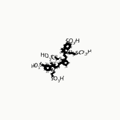 CC1(C)C(/C=C/C2=C(SCCC(=O)O)C(=C/C=C3/N(CCCS(=O)(=O)O)c4ccc(S(=O)(=O)O)cc4C3(C)C)/C3CCC2C3)=[N+](CCCS(=O)(=O)O)c2ccc(S(=O)(=O)O)cc21